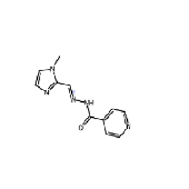 Cn1ccnc1/C=N/NC(=O)c1ccncc1